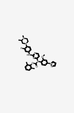 COc1cc(-n2cccn2)ccc1N(C(=O)Oc1c(C)cccc1C)c1ccnc(Nc2ccc(N3CCN(C)C(C)C3)c(F)c2)n1